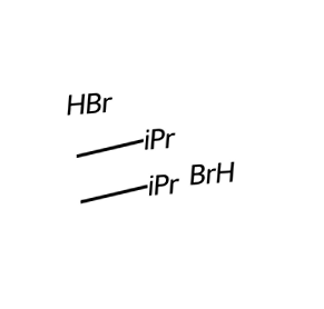 Br.Br.CC(C)C.CC(C)C